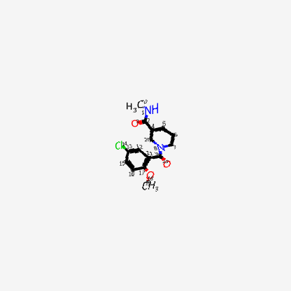 CNC(=O)C1CCCN(C(=O)c2cc(Cl)ccc2OC)C1